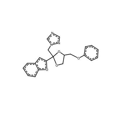 c1ccc(OCC2COC(Cn3cncn3)(c3cc4ccccc4o3)O2)cc1